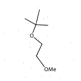 COCCOC(C)(C)C